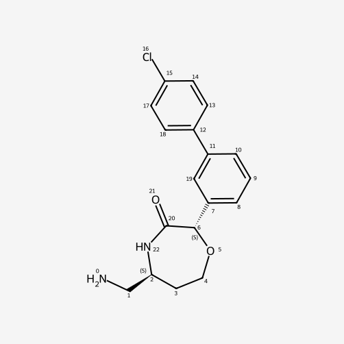 NC[C@@H]1CCO[C@@H](c2cccc(-c3ccc(Cl)cc3)c2)C(=O)N1